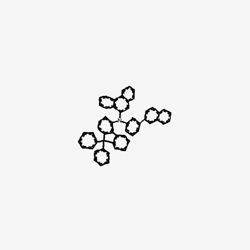 c1ccc(C2(c3ccccc3)c3ccccc3-c3c(N(c4cccc(-c5ccc6ccccc6c5)c4)c4cc5ccccc5c5ccccc45)cccc32)cc1